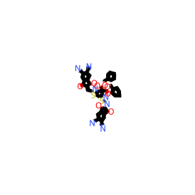 N#Cc1cc2c(cc1C#N)C(=O)C(=Cc1nc3c(s1)-c1sc(N=c4c(=O)c5cc(C#N)c(C#N)cc5c4=O)nc1C3(C(=O)OCc1ccccc1)C(=O)OCc1ccccc1)C2=O